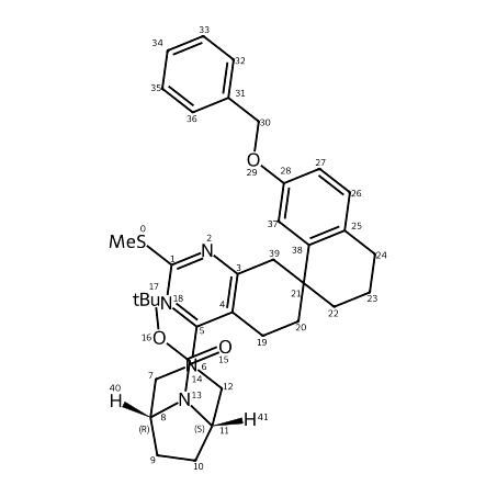 CSc1nc2c(c(N3C[C@H]4CC[C@@H](C3)N4C(=O)OC(C)(C)C)n1)CCC1(CCCc3ccc(OCc4ccccc4)cc31)C2